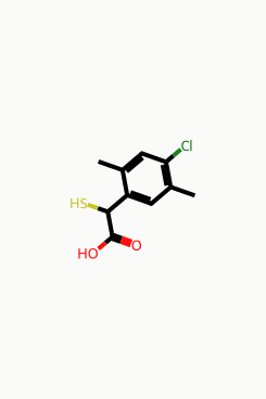 Cc1cc(C(S)C(=O)O)c(C)cc1Cl